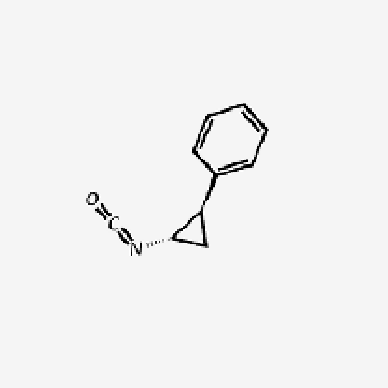 O=C=N[C@H]1C[C@@H]1c1ccccc1